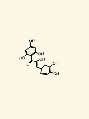 O=C(C(O)=CC1C=CC(O)=C(O)C1)c1c(O)cc(O)cc1O